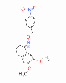 COc1cc2c(cc1OC)/C(=N/OCc1ccc([N+](=O)[O-])cc1)CCC2